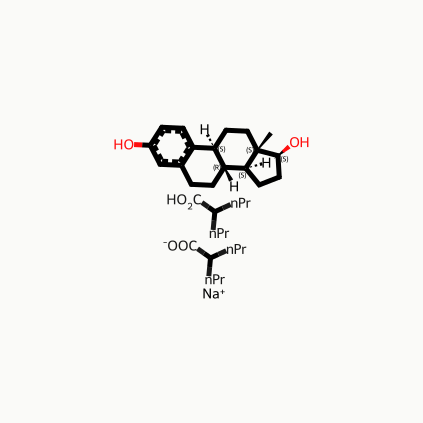 CCCC(CCC)C(=O)O.CCCC(CCC)C(=O)[O-].C[C@]12CC[C@@H]3c4ccc(O)cc4CC[C@H]3[C@@H]1CC[C@@H]2O.[Na+]